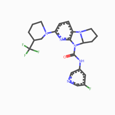 O=C(Nc1cncc(F)c1)N1c2nc(N3CCCC(C(F)(F)F)C3)ccc2N2CCCC21